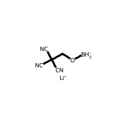 [BH3-]OCC(C#N)(C#N)C#N.[Li+]